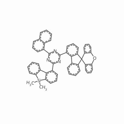 C[Si]1(C)c2ccccc2-c2c(-c3nc(-c4cccc5c4-c4ccccc4C54c5ccccc5Oc5ccccc54)nc(-c4cccc5ccccc45)n3)cccc21